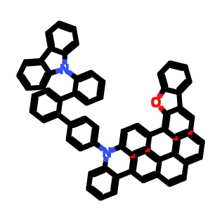 c1ccc(-c2ccccc2-n2c3ccccc3c3ccccc32)c(-c2ccc(N(c3ccc(-c4cccc5c4oc4ccccc45)cc3)c3ccccc3-c3ccc4c(ccc5ccccc54)c3)cc2)c1